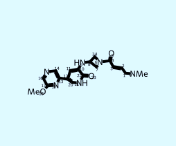 CNCC=CC(=O)N1CC(Nc2cc(-c3cncc(OC)n3)c[nH]c2=O)C1